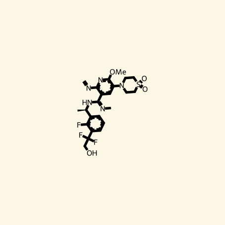 C=Nc1nc(OC)c(N2CCS(=O)(=O)CC2)cc1/C(=N\C)N[C@H](C)c1cccc(C(F)(F)CO)c1F